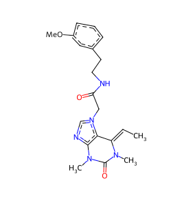 CC=C1c2c(ncn2CC(=O)NCCc2cccc(OC)c2)N(C)C(=O)N1C